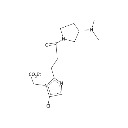 CCOC(=O)Cn1c(Cl)cnc1CCC(=O)N1CC[C@H](N(C)C)C1